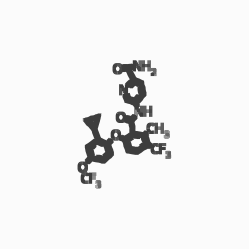 Cc1c(C(F)(F)F)ccc(Oc2ccc(OC(F)(F)F)cc2C2CC2)c1C(=O)Nc1ccc(C(N)=O)nc1